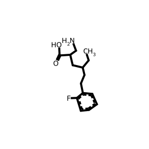 CCC(CCc1ccccc1F)CC(CN)C(=O)O